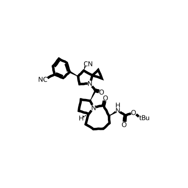 CC(C)(C)OC(=O)N[C@H]1CCCC[C@H]2CC[C@@H](C(=O)N3C[C@@H](c4cccc(C#N)c4)[C@H](C#N)C34CC4)N2C1=O